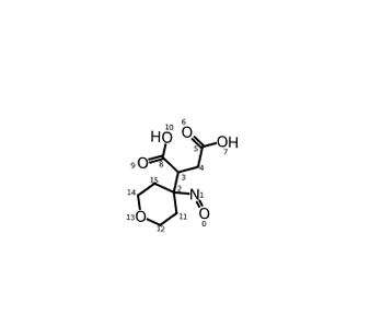 O=NC1(C(CC(=O)O)C(=O)O)CCOCC1